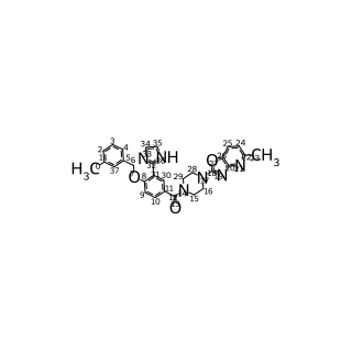 Cc1cccc(COc2ccc(C(=O)N3CCN(c4nc5nc(C)ccc5o4)CC3)cc2-c2ncc[nH]2)c1